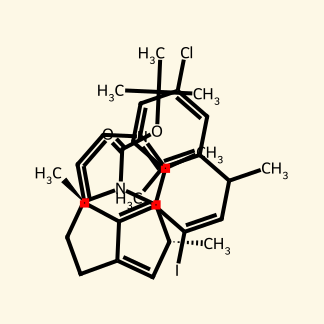 CC1=NC=C=CC(C2=C\[C@@H](C)CN(C(=O)OC(C)(C)C)[C@H](C)CC\2)=C1/C(I)=C\C(C)c1cc(Cl)ccc1C